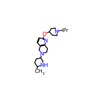 CC1CCC(N2CCc3nc(OC4CCN(C(C)C)CC4)ccc3C2)CN1